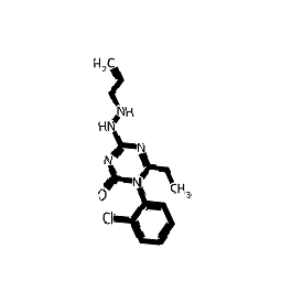 C=CCNNc1nc(CC)n(-c2ccccc2Cl)c(=O)n1